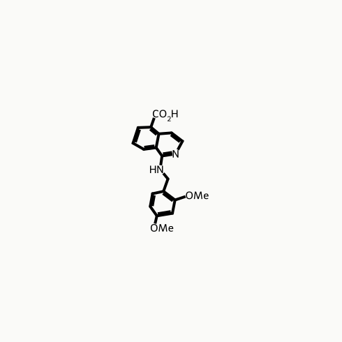 COc1ccc(CNc2nccc3c(C(=O)O)cccc23)c(OC)c1